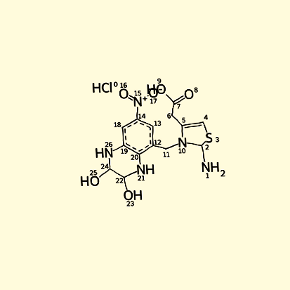 Cl.NC1SC=C(CC(=O)O)N1Cc1cc([N+](=O)[O-])cc2c1NC(O)C(O)N2